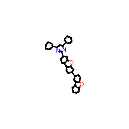 c1ccc(-c2cc(-c3ccccc3)nc(-c3ccc4c(c3)oc3cc(-c5ccc6oc7ccccc7c6c5)ccc34)n2)cc1